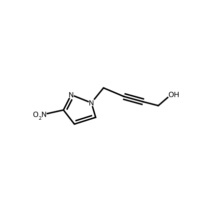 O=[N+]([O-])c1ccn(CC#CCO)n1